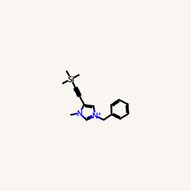 Cn1c[n+](Cc2ccccc2)cc1C#C[Si](C)(C)C